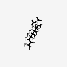 CC(C)[SiH](C(C)C)C(F)C(F)(F)C(F)(F)C(F)(F)C(F)(F)C(F)C(F)C(F)F